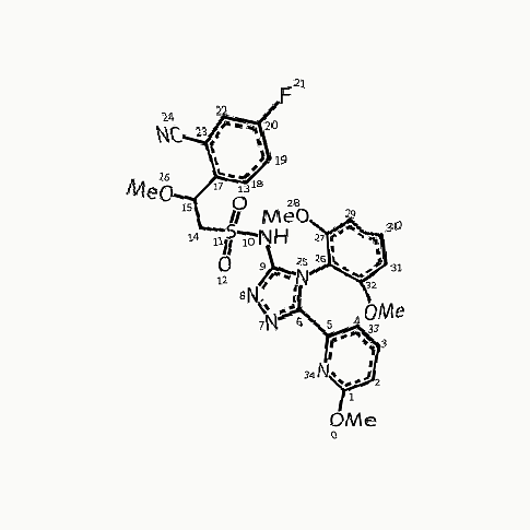 COc1cccc(-c2nnc(NS(=O)(=O)CC(OC)c3ccc(F)cc3C#N)n2-c2c(OC)cccc2OC)n1